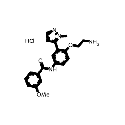 COc1cccc(C(=O)Nc2ccc(OCCN)c(-c3ccnn3C)c2)c1.Cl